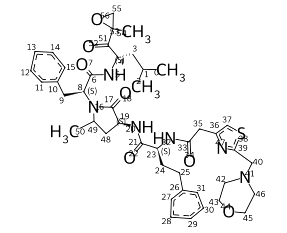 CC(C)C[C@H](NC(=O)[C@H](Cc1ccccc1)N1C(=O)[C@@H](NC(=O)[C@H](CCc2ccccc2)NC(=O)Cc2csc(CN3CCOCC3)n2)CC1C)C(=O)C1(C)CO1